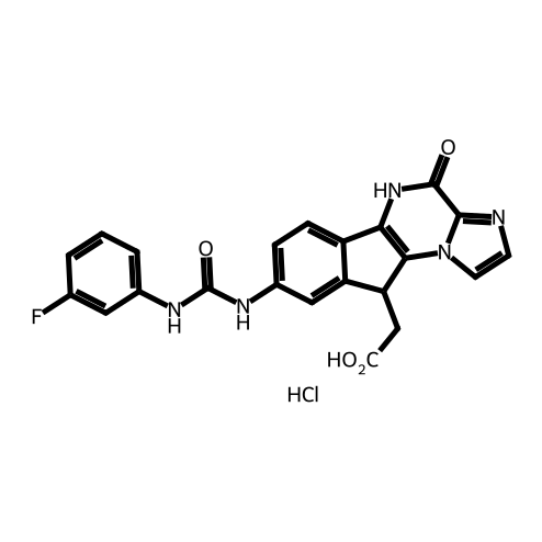 Cl.O=C(O)CC1c2cc(NC(=O)Nc3cccc(F)c3)ccc2-c2[nH]c(=O)c3nccn3c21